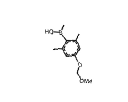 COCOc1cc(C)c(B(C)O)c(C)c1